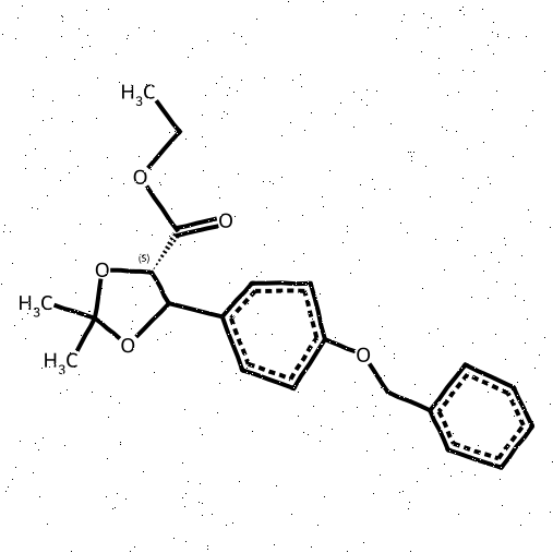 CCOC(=O)[C@H]1OC(C)(C)OC1c1ccc(OCc2ccccc2)cc1